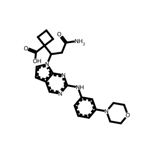 NC(=O)CC(n1ccc2cnc(Nc3cccc(N4CCOCC4)c3)nc21)C1(C(=O)O)CCC1